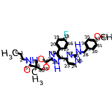 CCCNC(=O)C1(C)COC(c2nc(-c3ccc(F)cc3)c(-c3ccnc(NCc4ccc(OC)cc4)n3)[nH]2)OC1